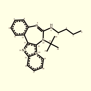 CCCCNC1=Nc2ccccc2-c2nc3ccccn3c2N1C(C)(C)C